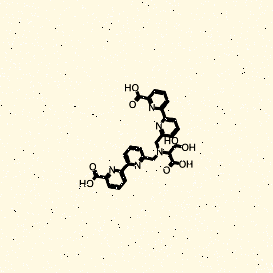 O=C(O)c1cccc(-c2cccc(CN(Cc3cccc(-c4cccc(C(=O)O)n4)n3)C(C(=O)O)C(O)O)n2)n1